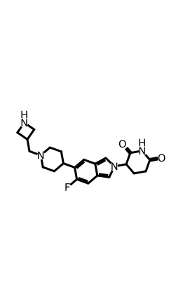 O=C1CCC(n2cc3cc(F)c(C4CCN(CC5CNC5)CC4)cc3c2)C(=O)N1